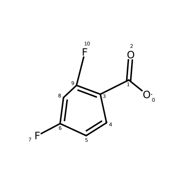 [O]C(=O)c1ccc(F)cc1F